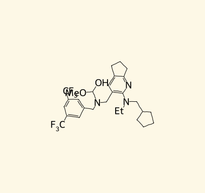 CCN(CC1CCCC1)c1nc2c(cc1CN(Cc1cc(C(F)(F)F)cc(C(F)(F)F)c1)C(O)OC)CCC2